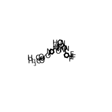 CC1(C)OC[C@H](COc2ccc(NC(=O)N3c4nc(-c5cccc(C(F)(F)F)c5)ncc4N4CCC[C@H]3C4)cn2)O1